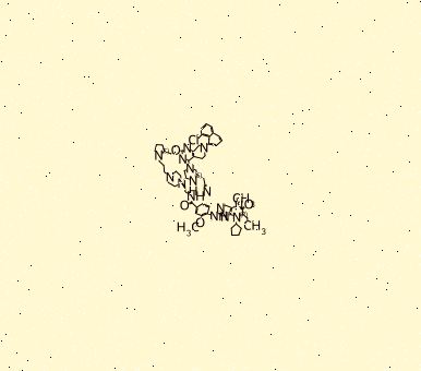 CC[C@@H]1C(=O)N(C)c2cnc(Nc3ccc(C(=O)NCCN4CCN(CCCN5CCC[C@H]5COc5nc6c(c(N7CCN[C@@H](CC#N)C7)n5)CCN(c5cccc7cccc(Cl)c57)C6)CC4)cc3OC)nc2N1C1CCCC1